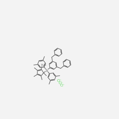 CC1=C(C)C(C)([Si](c2cc(C)cc(C)c2)(c2cc(C)cc(C)c2)c2cc(Cc3ccccc3)cc(Cc3ccccc3)c2)[C]([Ti+3])=C1C.[Cl-].[Cl-].[Cl-]